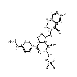 CCCCCCOc1ccc(C(=O)[C@H]2CC[C@@H](Cn3nnc4ccc(C)cc4c3=O)[C@@H]2C(=O)OCC[Si](C)(C)C)cc1